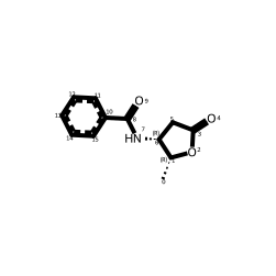 C[C@H]1OC(=O)C[C@H]1NC(=O)c1ccccc1